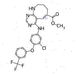 COC(=O)/C1=C/c2c(ncnc2Nc2ccc(Oc3cccc(C(F)(F)F)c3)c(Cl)c2)NCCC1